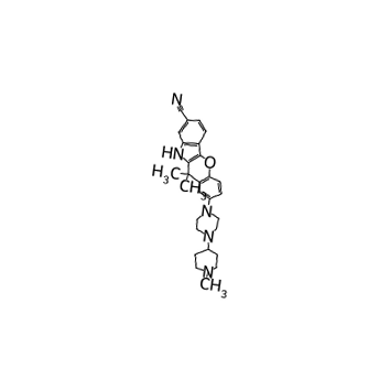 CN1CCC(N2CCN(c3ccc4c(c3)C(C)(C)c3[nH]c5cc(C#N)ccc5c3O4)CC2)CC1